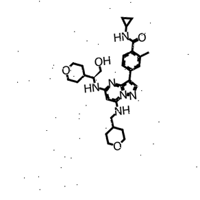 Cc1cc(-c2cnn3c(NCC4CCOCC4)cc(N[C@H](CO)C4CCOCC4)nc23)ccc1C(=O)NC1CC1